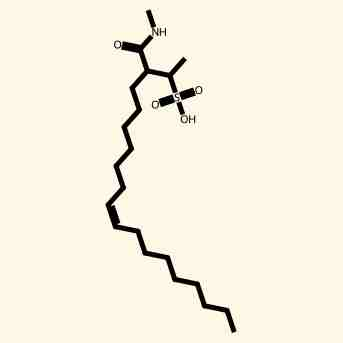 CCCCCCCC/C=C\CCCCCCC(C(=O)NC)C(C)S(=O)(=O)O